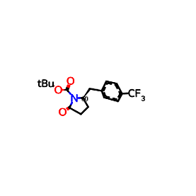 CC(C)(C)OC(=O)N1C(=O)CC[C@@H]1Cc1ccc(C(F)(F)F)cc1